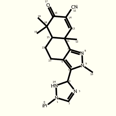 CC(C)N1C=NC(c2c3c(nn2C)C2(C)C=C(C#N)C(=O)C(C)(C)C2CC3)N1